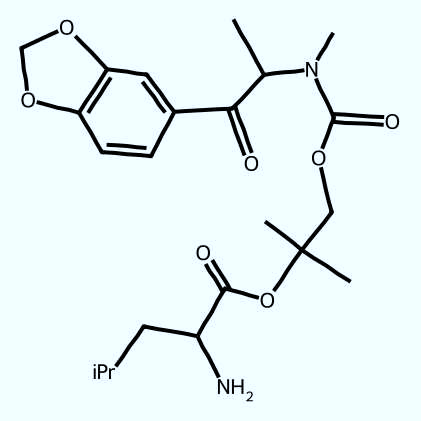 CC(C)CC(N)C(=O)OC(C)(C)COC(=O)N(C)C(C)C(=O)c1ccc2c(c1)OCO2